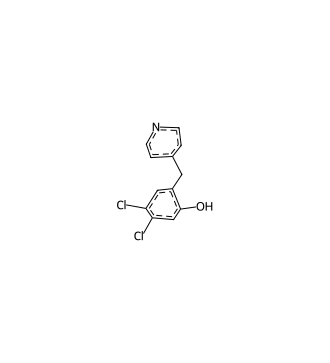 Oc1cc(Cl)c(Cl)cc1Cc1ccncc1